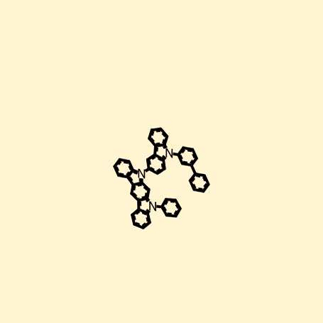 c1ccc(-c2cccc(-n3c4ccccc4c4cc(-n5c6ccccc6c6cc7c8ccccc8n(-c8ccccc8)c7cc65)ccc43)c2)cc1